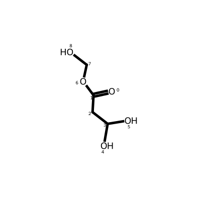 O=C(CC(O)O)OCO